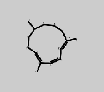 CC1=C\CCC(C)CCC/C(C)=C/C=C\1